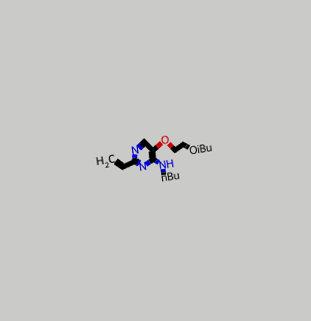 C=Cc1ncc(OCCOCC(C)C)c(NCCCC)n1